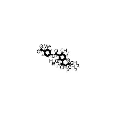 COC(=O)c1ccc(OC(=O)c2c(C)cc3c(c2C)C(C)(C)CC(C)(C)O3)cc1